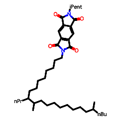 CCCCC(C)CCCCCCCCC(C)C(CCC)CCCCCCCCn1c(=O)c2cc3c(=O)n(C(C)CCC)c(=O)c3cc2c1=O